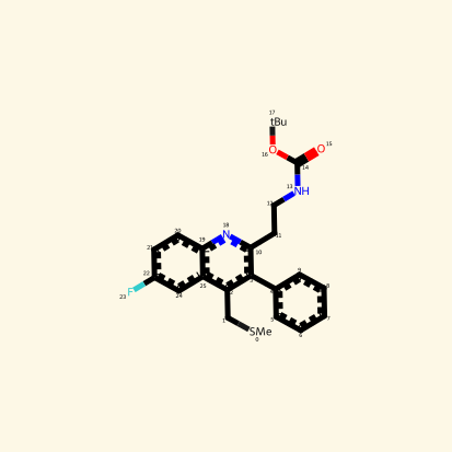 CSCc1c(-c2ccccc2)c(CCNC(=O)OC(C)(C)C)nc2ccc(F)cc12